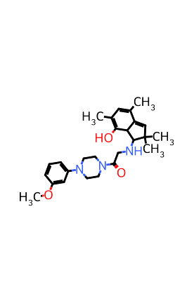 COc1cccc(N2CCN(C(=O)CNC3C4C(=CC3(C)C)C(C)=CC(C)=C4O)CC2)c1